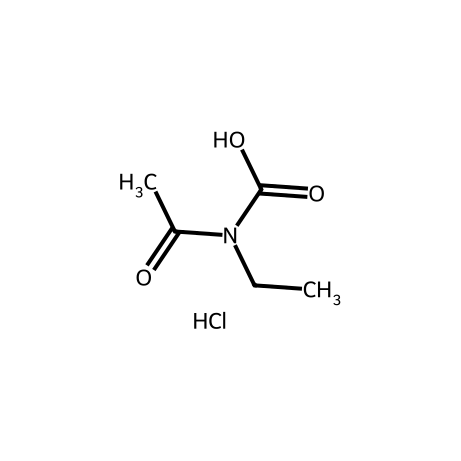 CCN(C(C)=O)C(=O)O.Cl